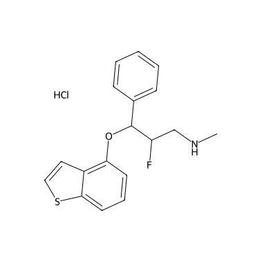 CNCC(F)C(Oc1cccc2sccc12)c1ccccc1.Cl